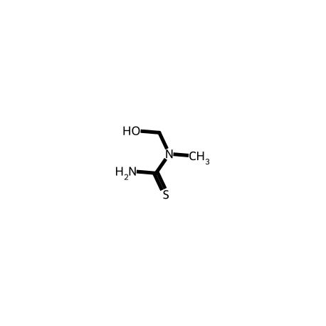 CN(CO)C(N)=S